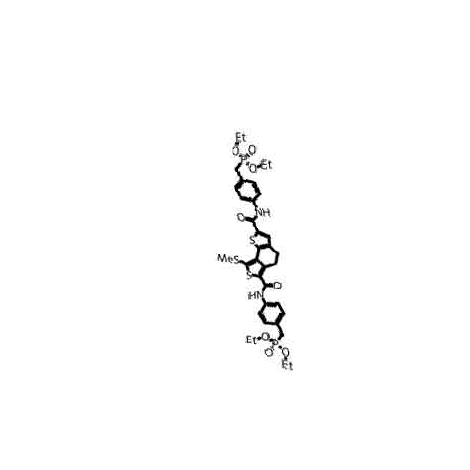 CCOP(=O)(Cc1ccc(NC(=O)c2cc3c(s2)-c2c(SC)sc(C(=O)Nc4ccc(CP(=O)(OCC)OCC)cc4)c2CC3)cc1)OCC